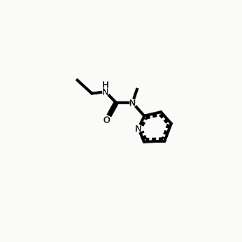 CCNC(=O)N(C)c1ccccn1